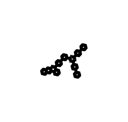 c1ccc(-c2ccc(-c3nc(-c4ccc(-c5ccccc5)cc4)nc(-c4cccc(-c5ccc(-c6nc7cc8ccccc8cc7c7ccccc67)cc5)c4)n3)cc2)cc1